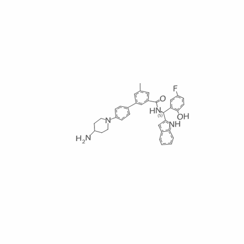 Cc1cc(C(=O)N[C@H](c2cc3ccccc3[nH]2)c2cc(F)ccc2O)cc(-c2ccc(N3CCC(N)CC3)cc2)c1